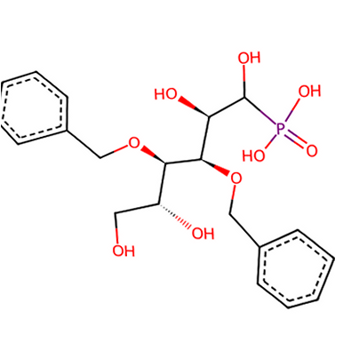 O=P(O)(O)C(O)[C@H](O)[C@@H](OCc1ccccc1)[C@H](OCc1ccccc1)[C@H](O)CO